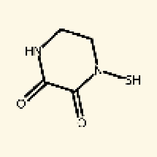 O=C1NCCN(S)C1=O